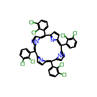 Clc1cccc(-c2c3nc(c(-c4cccc(Cl)c4Cl)c4ccc([nH]4)c(-c4cccc(Cl)c4Cl)c4nc(c(-c5cccc(Cl)c5Cl)c5ccc2[nH]5)C=C4)C=C3)c1Cl